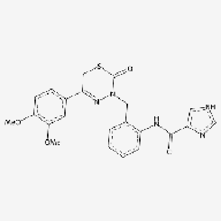 COc1ccc(C2=NN(Cc3ccccc3NC(=O)c3c[nH]cn3)C(=O)SC2)cc1OC